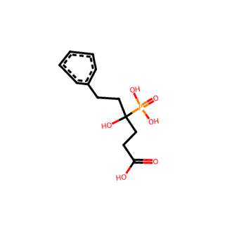 O=C(O)CCC(O)(CCc1ccccc1)P(=O)(O)O